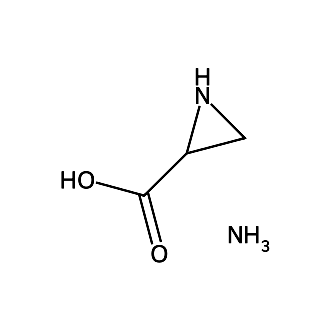 N.O=C(O)C1CN1